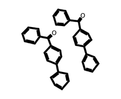 O=C(c1ccccc1)c1ccc(-c2ccccc2)cc1.O=C(c1ccccc1)c1ccc(-c2ccccc2)cc1